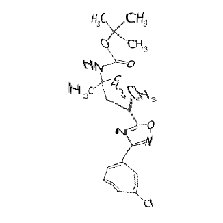 CC(CC(C)(C)NC(=O)OC(C)(C)C)c1nc(-c2cccc(Cl)c2)no1